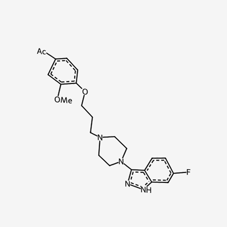 COc1cc(C(C)=O)ccc1OCCCN1CCN(c2n[nH]c3cc(F)ccc23)CC1